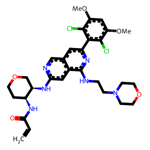 C=CC(=O)N[C@H]1CCOC[C@H]1Nc1cc2c(NCCN3CCOCC3)nc(-c3c(Cl)c(OC)cc(OC)c3Cl)cc2cn1